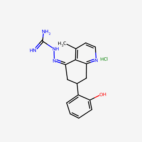 Cc1ccnc2c1/C(=N\NC(=N)N)CC(c1ccccc1O)C2.Cl